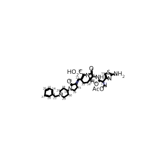 CC(=O)O/N=C(\C(=O)N[C@@H]1C(=O)N2C(C(=O)O)=C(/C=C3\CCN(C4CCN(Cc5ccccc5)CC4)C3=O)CC[C@H]12)c1csc(N)n1